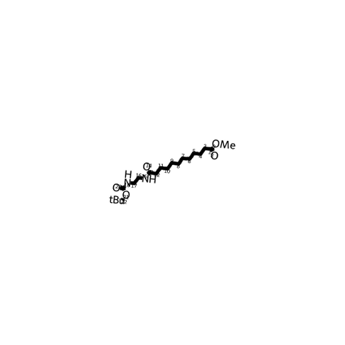 COC(=O)CCCCCCCCCCC(=O)NCCNC(=O)OC(C)(C)C